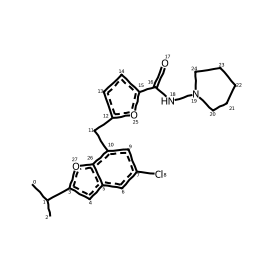 CC(C)c1cc2cc(Cl)cc(Cc3ccc(C(=O)NN4CCCCC4)o3)c2o1